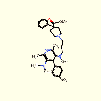 COC(=O)C1(c2ccccc2)CCN(CCCN(C=O)C2=C(C)NC(C)=C(N(C)C=O)C2c2ccc([N+](=O)[O-])cc2)CC1